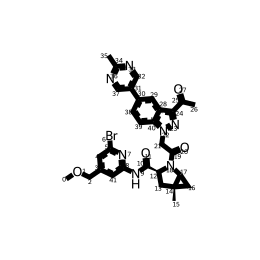 COCc1cc(Br)nc(NC(=O)[C@@H]2C[C@@]3(C)CC3N2C(=O)Cn2nc(C(C)=O)c3cc(-c4cnc(C)nc4)ccc32)c1